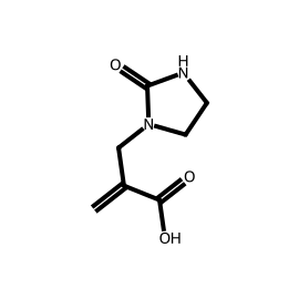 C=C(CN1CCNC1=O)C(=O)O